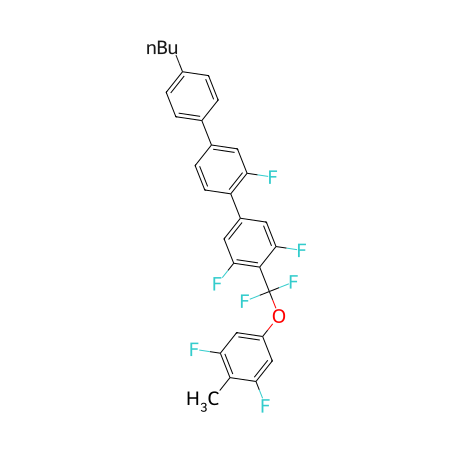 CCCCc1ccc(-c2ccc(-c3cc(F)c(C(F)(F)Oc4cc(F)c(C)c(F)c4)c(F)c3)c(F)c2)cc1